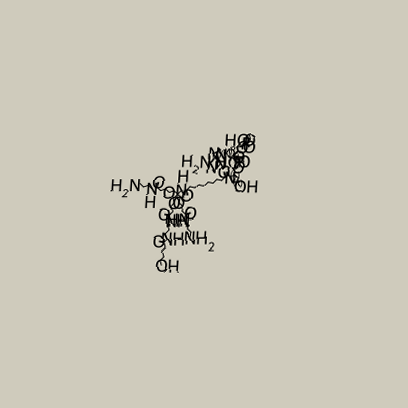 COP(=O)(O)OC[C@H]1C[C@@H](n2cnc3c(N)ncnc32)C[C@@H]1OP(=O)(O)OC[C@@H]1C[C@@H](O)CN1C(=O)CCCCCCCCC(=O)NC(COCCC(=O)NCCCN)(COCCC(=O)NCCCN)COCCC(=O)NCCCNC(=O)CCCCO